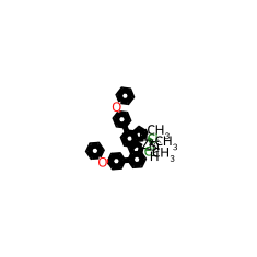 CC1=Cc2c(-c3ccc(Oc4ccccc4)cc3)cccc2[CH]1[Zr]([Cl])([Cl])([CH]1C(C)=Cc2c(-c3ccc(Oc4ccccc4)cc3)cccc21)[SiH](C)C